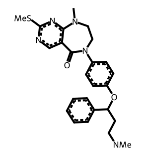 CNCCC(Oc1ccc(N2CCN(C)c3nc(SC)ncc3C2=O)cc1)c1ccccc1